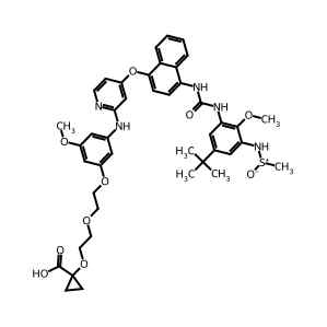 COc1cc(Nc2cc(Oc3ccc(NC(=O)Nc4cc(C(C)(C)C)cc(N[S+](C)[O-])c4OC)c4ccccc34)ccn2)cc(OCCOCCOC2(C(=O)O)CC2)c1